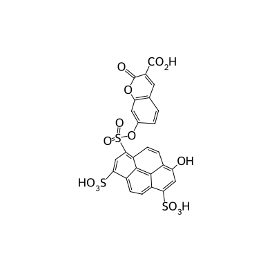 O=C(O)c1cc2ccc(OS(=O)(=O)c3cc(S(=O)(=O)O)c4ccc5c(S(=O)(=O)O)cc(O)c6ccc3c4c65)cc2oc1=O